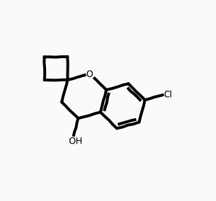 OC1CC2(CCC2)Oc2cc(Cl)ccc21